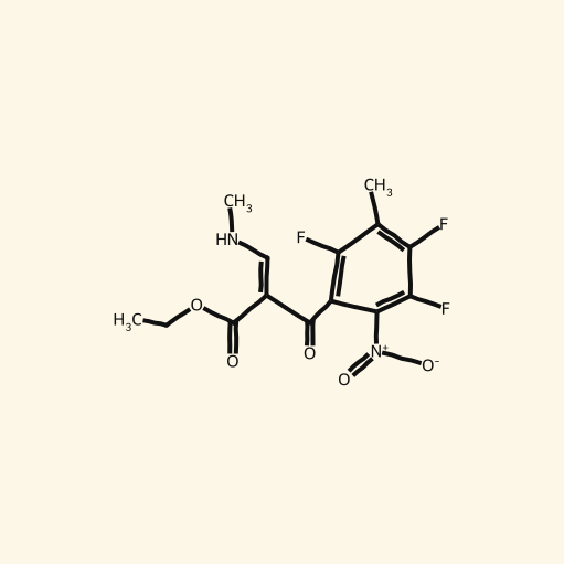 CCOC(=O)C(=CNC)C(=O)c1c(F)c(C)c(F)c(F)c1[N+](=O)[O-]